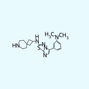 CN(C)c1cccc(-c2cnc3sc(NC4CC5(CCNCC5)C4)nn23)c1